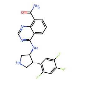 NC(=O)c1cccc2c(N[C@@H]3CNC[C@H]3c3cc(F)c(F)cc3F)ncnc12